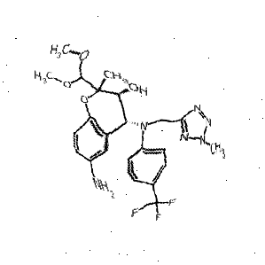 COC(OC)C1(C)Oc2ccc(N)cc2[C@@H](N(Cc2nnn(C)n2)c2ccc(C(F)(F)F)cc2)[C@@H]1O